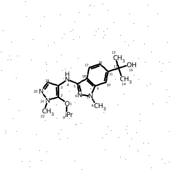 CC(C)Oc1c(Nc2nn(C)c3cc(C(C)(C)O)ccc23)cnn1C